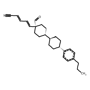 CCCc1ccc([C@H]2CC[C@H]([C@H]3CC[C@](C=O)(C=CC=CC#N)CC3)CC2)cc1